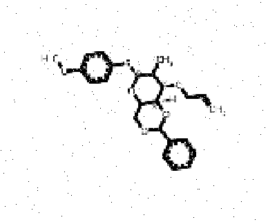 C=CCO[C@@H]1C(C)[C@H](Sc2ccc(OC)cc2)OC2COC(c3ccccc3)O[C@@H]21